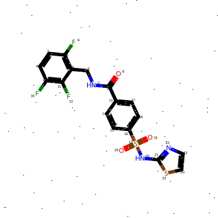 O=C(NCc1c(F)ccc(F)c1F)c1ccc(S(=O)(=O)Nc2nccs2)cc1